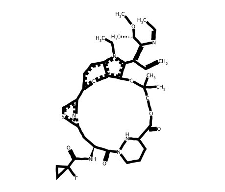 C=C/C(=C(\N=C/C)[C@H](C)OC)c1c2c3cc(ccc3n1CC)-c1csc(n1)C[C@H](NC(=O)C1(F)CC1)C(=O)N1CCC[C@](C=O)(COCC(C)(C)C2)N1